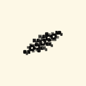 C[C@H]1CN(C(=O)[C@]2(C)O[C@H]2c2cccc([N+](=O)[O-])c2)[C@@H](C)CN1C(=O)[C@]1(C)O[C@H]1c1cccc([N+](=O)[O-])c1